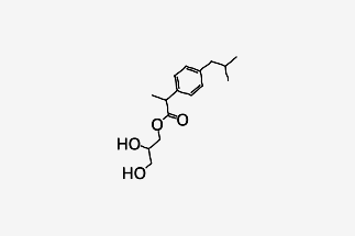 CC(C)Cc1ccc(C(C)C(=O)OCC(O)CO)cc1